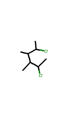 CC(Cl)C(C)C(C)C(C)Cl